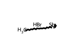 Br.CCCCCCCCCCCCCCCCCC[N]1C=C[CH]=[Sb]1